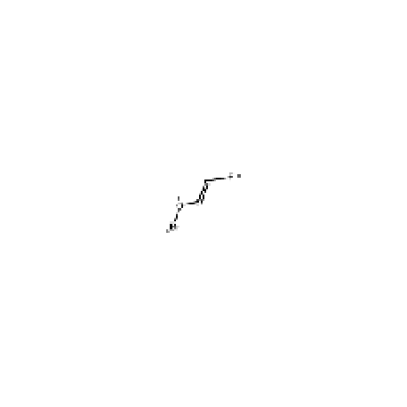 FC=COBr